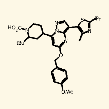 COc1ccc(COc2cc(C3CCN(C(=O)O)C(C(C)(C)C)C3)n3ncc(-c4sc(C(C)C)nc4C)c3n2)cc1